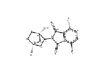 O=C1c2c(F)ccc(F)c2C(=O)N1C1C[C@H]2CC[C@@H]1C2